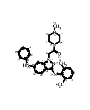 Cc1cccc(C)c1Nc1nn(CC(=O)N2CCN(C)CC2)c2cc(Nc3ccccc3)ccc12